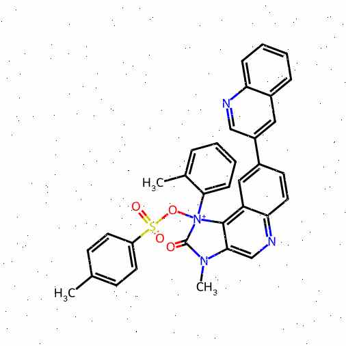 Cc1ccc(S(=O)(=O)O[N+]2(c3ccccc3C)C(=O)N(C)c3cnc4ccc(-c5cnc6ccccc6c5)cc4c32)cc1